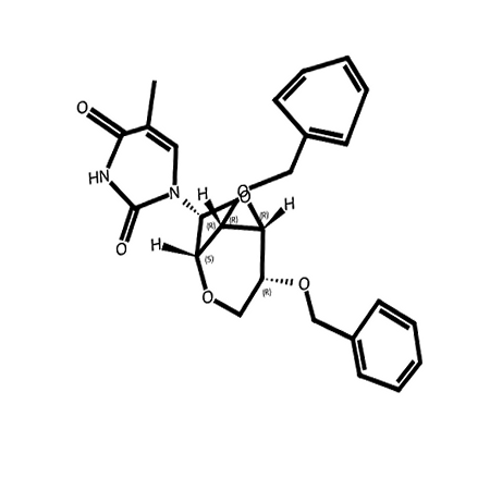 Cc1cn([C@@H]2O[C@H]3[C@@H](OCc4ccccc4)[C@@H]2OC[C@H]3OCc2ccccc2)c(=O)[nH]c1=O